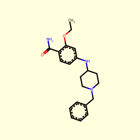 CCOc1cc(NC2CCN(Cc3ccccc3)CC2)ccc1C(N)=O